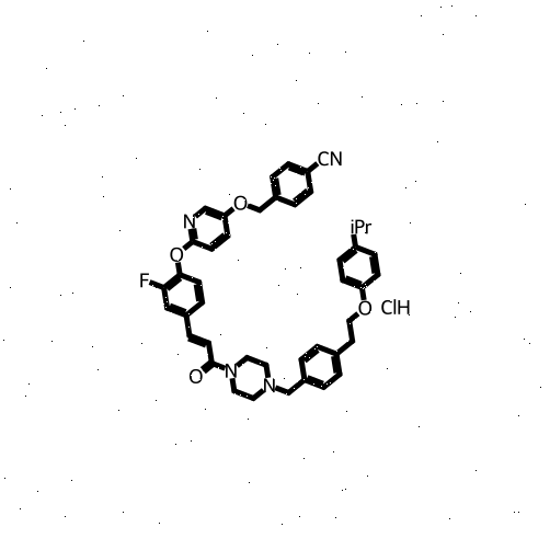 CC(C)c1ccc(OCCc2ccc(CN3CCN(C(=O)C=Cc4ccc(Oc5ccc(OCc6ccc(C#N)cc6)cn5)c(F)c4)CC3)cc2)cc1.Cl